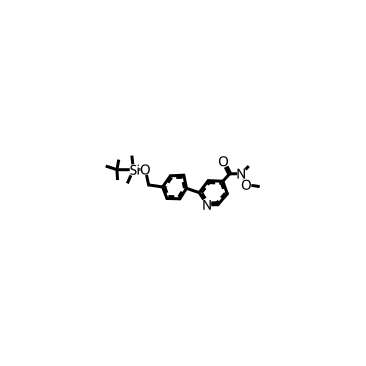 CON(C)C(=O)c1ccnc(-c2ccc(CO[Si](C)(C)C(C)(C)C)cc2)c1